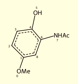 COc1ccc(O)c(NC(C)=O)c1